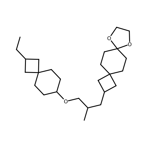 CCC1CC2(CCC(OCC(C)CC3CC4(CCC5(CC4)OCCO5)C3)CC2)C1